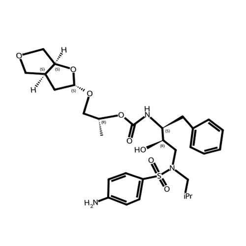 CC(C)CN(C[C@@H](O)[C@H](Cc1ccccc1)NC(=O)O[C@H](C)CO[C@@H]1C[C@H]2COC[C@H]2O1)S(=O)(=O)c1ccc(N)cc1